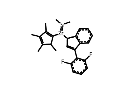 CC1=C(C)C(C)[C]([Zr]([CH]2C=C(c3c(F)cccc3F)c3ccccc32)=[Si](C)C)=C1C